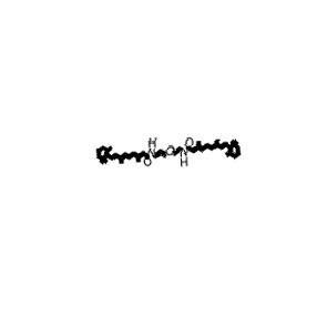 CC1=C(/C=C/C(C)=C/C=C/C(C)=C/C(=O)NCCCOCCNC(=O)/C=C(C)/C=C/C=C(C)/C=C/C2=C(C)CCCC2(C)C)C(C)(C)CCC1